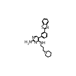 Nc1ncc(-c2cccc(-c3nc4ccccc4s3)c2)c(NCCCN2CCCCC2)n1